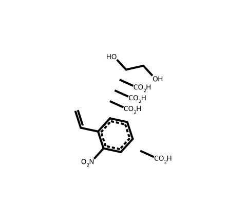 C=Cc1ccccc1[N+](=O)[O-].CC(=O)O.CC(=O)O.CC(=O)O.CC(=O)O.OCCO